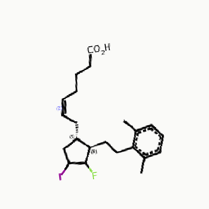 Cc1cccc(C)c1CC[C@H]1C(F)C(I)C[C@@H]1C/C=C\CCCC(=O)O